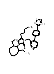 CCCCc1cn(C2C(CC)CCCCCC2CC)c(=O)n1Cc1cnccc1-c1ccc(-c2nnn[nH]2)cc1